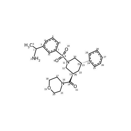 CC(N)c1cccc(S(=O)(=O)N2C[C@H](C(=O)N3CCOCC3)C[C@@H](c3ccccc3)C2)c1